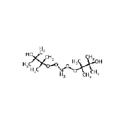 CC(C)(O)C(C)(C)OO[SiH2]OOC(C)(C)C(C)(C)O